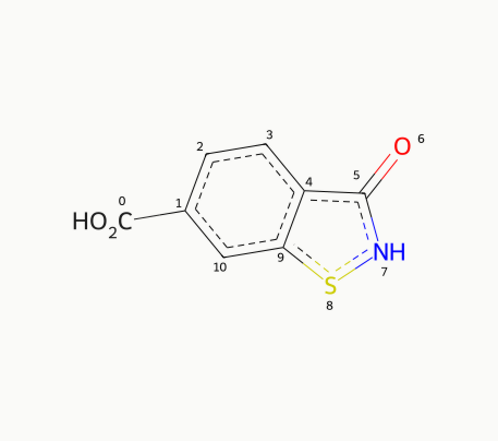 O=C(O)c1ccc2c(=O)[nH]sc2c1